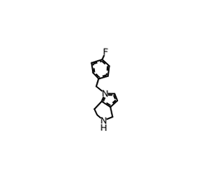 Fc1ccc(Cn2ccc3c2CCNC3)cc1